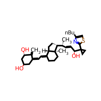 C=C1/C(=C\C=C2/CCC[C@]3(C)[C@@H]([C@H](C)/C=C/[C@@H](O)C4(c5nc(CCCC)cs5)CC4)CC[C@@H]23)C[C@@H](O)C[C@@H]1O